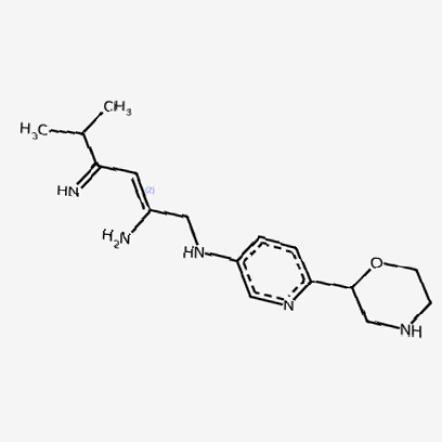 CC(C)C(=N)/C=C(\N)CNc1ccc(C2CNCCO2)nc1